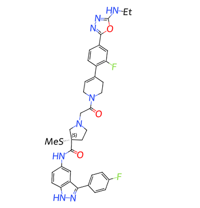 CCNc1nnc(-c2ccc(C3=CCN(C(=O)CN4CC[C@@](SC)(C(=O)Nc5ccc6[nH]nc(-c7ccc(F)cc7)c6c5)C4)CC3)c(F)c2)o1